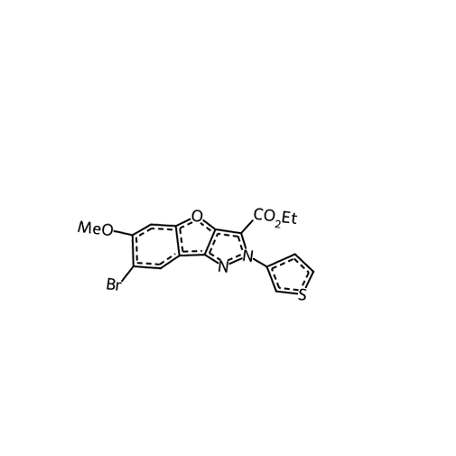 CCOC(=O)c1c2oc3cc(OC)c(Br)cc3c2nn1-c1ccsc1